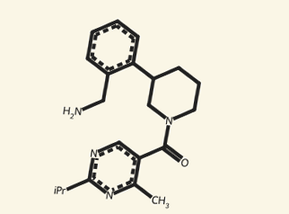 Cc1nc(C(C)C)ncc1C(=O)N1CCCC(c2ccccc2CN)C1